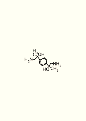 CC(O)(CN)c1ccc(C(C)(O)CN)cc1